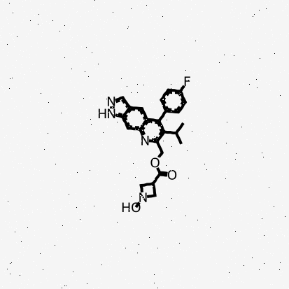 CC(C)c1c(COC(=O)C2CN(O)C2)nc2cc3[nH]ncc3cc2c1-c1ccc(F)cc1